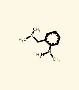 CN(C)Cc1ccccc1N(C)N